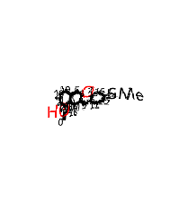 C=CC[C@@]12C(=CC(=O)C(=Cc3ccc(SC)cc3)[C@@H]1C)CCC[C@@H]2O